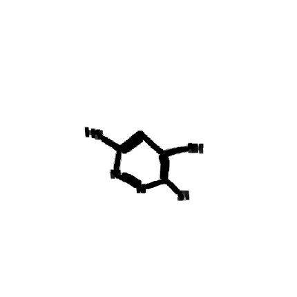 Sc1cc(S)c(S)nn1